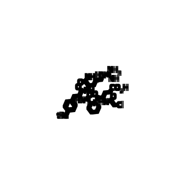 CC(C)(C)c1ccc(CC(NC(=O)[C@@H]2CCCCN2C(=O)C(CCC(=O)O)NC(=O)CCl)C(=O)NC(CCCNC(=N)N)C(N)=O)cc1